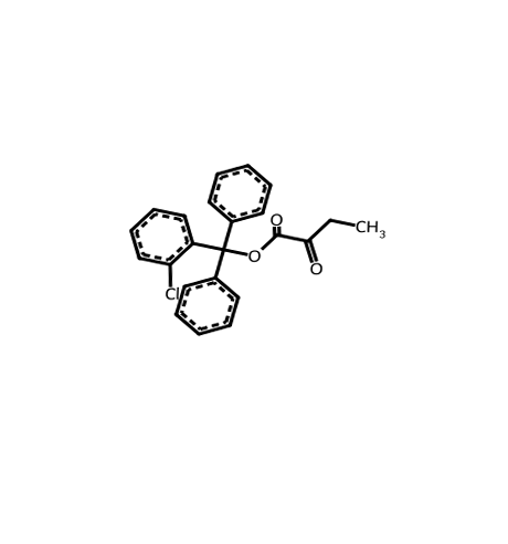 CCC(=O)C(=O)OC(c1ccccc1)(c1ccccc1)c1ccccc1Cl